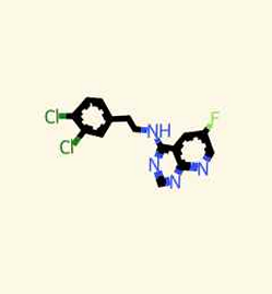 Fc1cnc2ncnc(NCCc3ccc(Cl)c(Cl)c3)c2c1